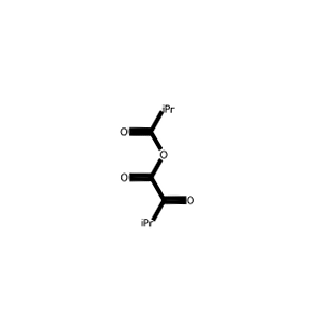 CC(C)C(=O)OC(=O)C(=O)C(C)C